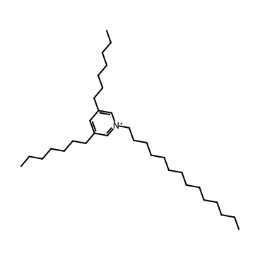 CCCCCCCCCCCCCC[n+]1cc(CCCCCCC)cc(CCCCCCC)c1